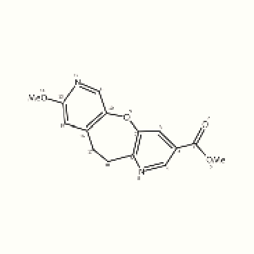 COC(=O)c1cnc2c(c1)Oc1cnc(OC)cc1CC2